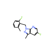 Cc1cccc(F)c1Cn1nc(C)c2cc(F)cnc21